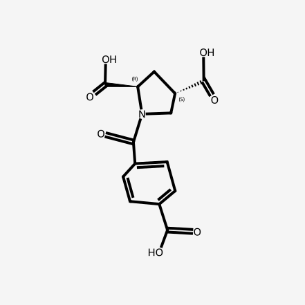 O=C(O)c1ccc(C(=O)N2C[C@@H](C(=O)O)C[C@@H]2C(=O)O)cc1